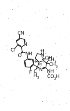 CC1(C)C(NC(=O)O)=N[C@](C)(c2cc(NC(=O)c3ncc(C#N)cc3Cl)ccc2F)[C@@H]2CCN[S@@]21O